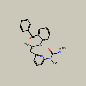 CCCCCNC(=O)N(C)c1cccc(C[C@H](Nc2ccccc2C(=O)c2ccccc2)C(=O)O)n1